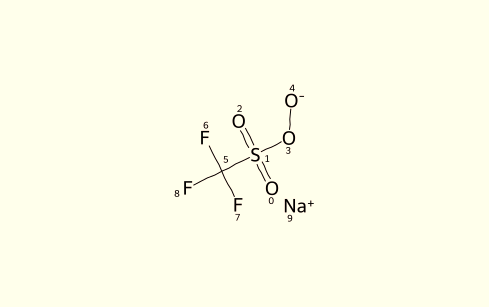 O=S(=O)(O[O-])C(F)(F)F.[Na+]